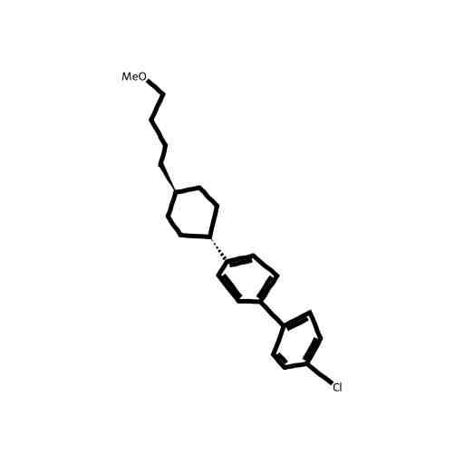 COCCCC[C@H]1CC[C@H](c2ccc(-c3ccc(Cl)cc3)cc2)CC1